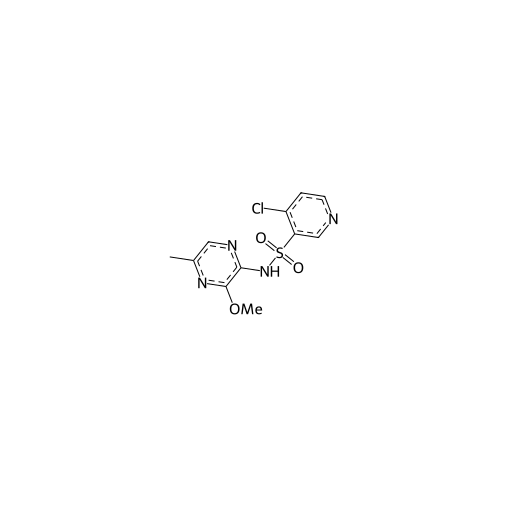 COc1nc(C)cnc1NS(=O)(=O)c1cnccc1Cl